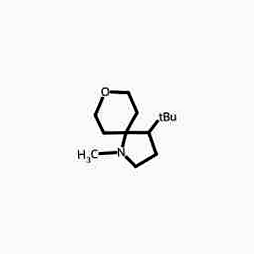 CN1CCC(C(C)(C)C)C12CCOCC2